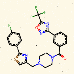 O=C(c1cccc(-c2noc(C(F)(F)F)n2)c1)N1CCN(Cc2csc(-c3ccc(F)cc3)n2)CC1